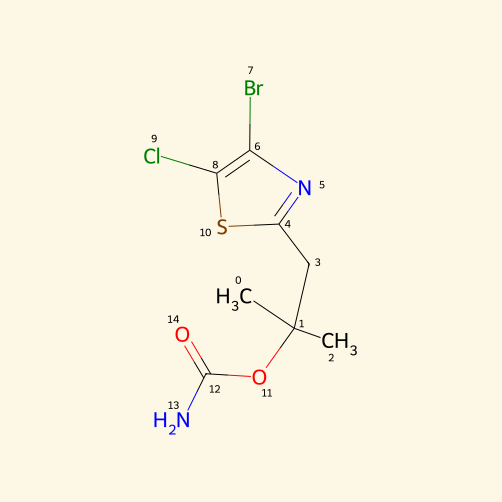 CC(C)(Cc1nc(Br)c(Cl)s1)OC(N)=O